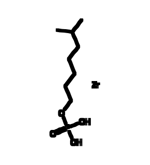 CC(C)CCCCCOP(=O)(O)O.[Zr]